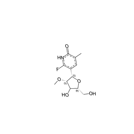 CO[C@H]1C(O)[C@@H](CO)O[C@H]1c1cc(C)c(=O)[nH]c1F